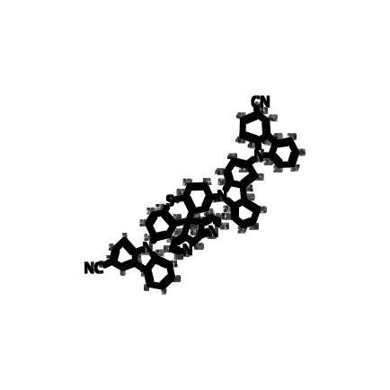 N#Cc1ccc2c(c1)c1ccccc1n2-c1ccc2c(c1)C1(c3cc(-n4c5ccccc5c5cc(-n6c7ccccc7c7cc(C#N)ccc76)ccc54)ccc3S2)c2cccnc2-c2ncccc21